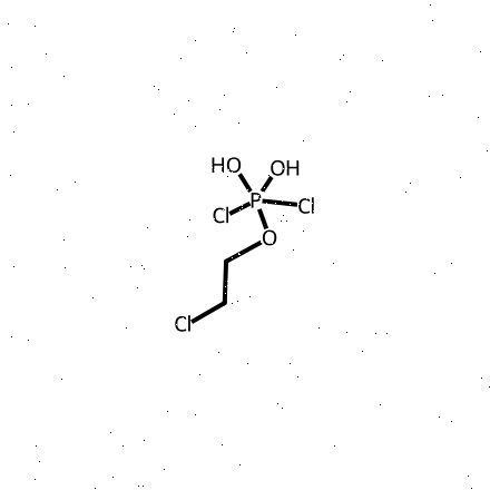 OP(O)(Cl)(Cl)OCCCl